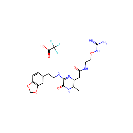 Cc1[nH]c(=O)c(NCCc2ccc3c(c2)OCO3)nc1CC(=O)NCCONC(=N)N.O=C(O)C(F)(F)F